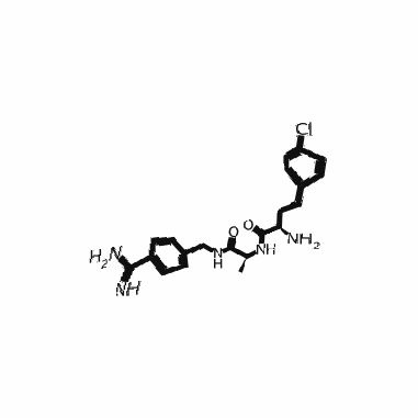 C[C@H](NC(=O)[C@H](N)CCc1ccc(Cl)cc1)C(=O)NCc1ccc(C(=N)N)cc1